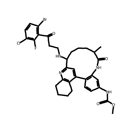 COC(=O)Nc1ccc2c(c1)NC(=O)C(C)CCCC(NCCC(=O)c1c(Br)ccc(Cl)c1F)c1cc-2c2c(n1)CCCC2